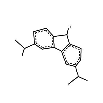 CC(C)c1ccc2c(c1)-c1cc(C(C)C)ccc1[CH]2[Ti]